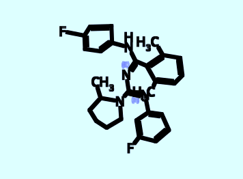 Cc1cccc(C)c1/C(=N\C(=N\c1cccc(F)c1)N1CCCCC1C)Nc1ccc(F)cc1